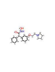 O=C(NO)C(c1ccccc1)c1cccc(OCCN2CCCC2)c1